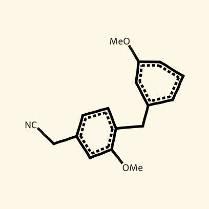 COc1cccc(Cc2ccc(CC#N)cc2OC)c1